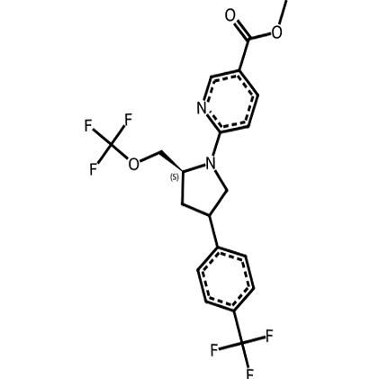 COC(=O)c1ccc(N2CC(c3ccc(C(F)(F)F)cc3)C[C@H]2COC(F)(F)F)nc1